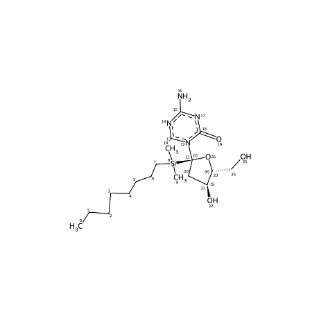 CCCCCCCC[Si](C)(C)[C@]1(n2cnc(N)nc2=O)C[C@H](O)[C@@H](CO)O1